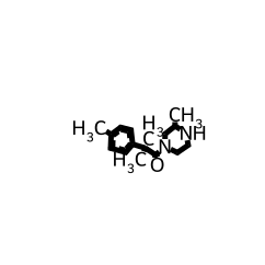 Cc1ccc(C(C)(C)C(=O)N2CCNC(C)C2)cc1